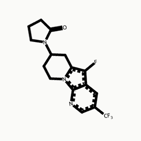 O=C1CCCN1C1CCn2c(c(F)c3cc(C(F)(F)F)cnc32)C1